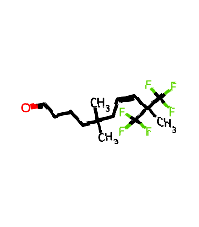 CC(C)(C/C=C\C(C)(C(F)(F)F)C(F)(F)F)CCCC=O